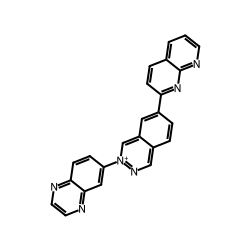 c1cnc2nc(-c3ccc4cn[n+](-c5ccc6nccnc6c5)cc4c3)ccc2c1